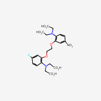 O=C(O)CN(CC(=O)O)c1ccc(F)cc1OCCOc1cc([N+](=O)[O-])ccc1N(CC(=O)O)CC(=O)O